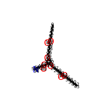 CCCCCCCCCOC(=O)CCCCCCCOC1=CC=C(OCCCCCCCC(=O)OCCCCCCCCC)C(COC(=O)CCCN(C)C)C1